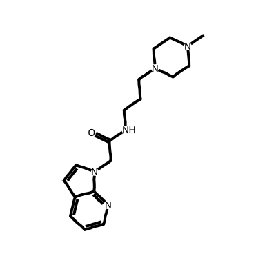 CN1CCN(CCCNC(=O)Cn2c[c]c3cccnc32)CC1